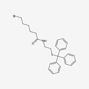 O=C(CCCCCBr)NCCSC(c1ccccc1)(c1ccccc1)c1ccccc1